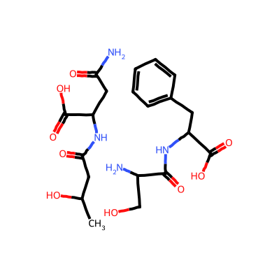 CC(O)CC(=O)NC(CC(N)=O)C(=O)O.NC(CO)C(=O)NC(Cc1ccccc1)C(=O)O